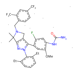 CCc1cccc(CC)c1-n1nc2c(c1-c1cc(OC)c(NC(N)=O)cc1F)CN(Cc1ccc(C(F)(F)F)cc1C(F)(F)F)C2(C)C